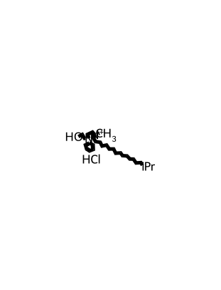 CC(C)CCCCCCCCCCCCCCC1=[N+](C)CC[N+]1(CCO)c1ccccc1.Cl